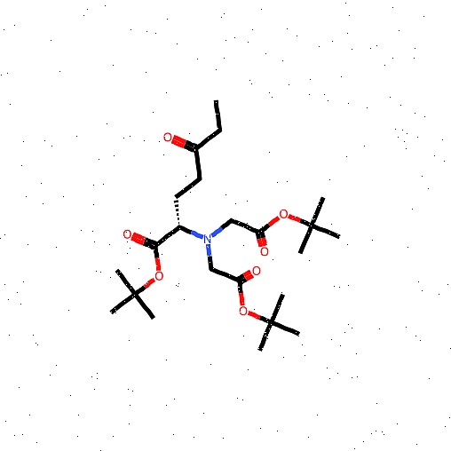 CCC(=O)CC[C@@H](C(=O)OC(C)(C)C)N(CC(=O)OC(C)(C)C)CC(=O)OC(C)(C)C